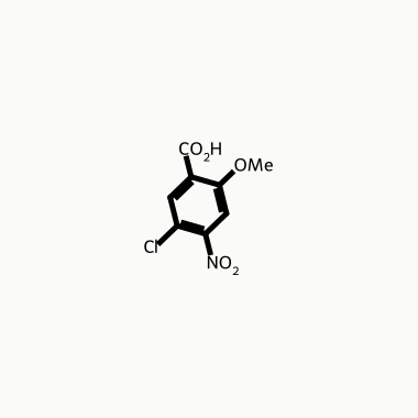 COc1cc([N+](=O)[O-])c(Cl)cc1C(=O)O